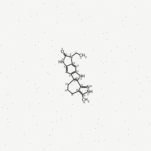 CCn1c(=O)[nH]c2cc3c4c([nH]c3cc21)-c1n[nH]c(C)c1CCC4